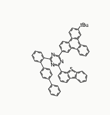 CC(C)(C)c1ccc2c3ccc(-c4nc(-c5ccccc5-c5ccc(-c6ccccc6)cc5)nc(-c5cccc6c5sc5ccccc56)n4)cc3c3ccccc3c2c1